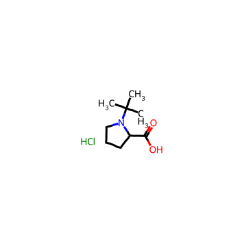 CC(C)(C)N1CCCC1C(=O)O.Cl